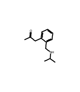 CC(=O)Cc1ccccc1CNC(C)C